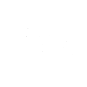 C=C(C)C(=O)O.C=C(C)C(=O)O.O=C(c1ccccc1)c1ccccc1